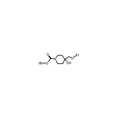 CCOCC1(O)CCN(C(=O)OC(C)(C)C)CC1